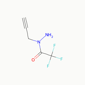 C#CCN(N)C(=O)C(F)(F)F